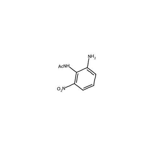 CC(=O)Nc1c(N)cccc1[N+](=O)[O-]